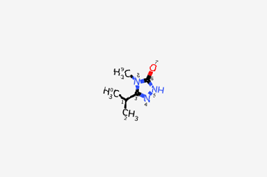 CC(C)c1n[nH]c(=O)n1C